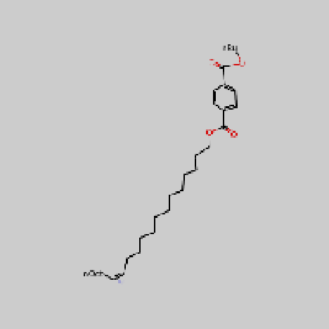 CCCCCCCC/C=C\CCCCCCCCCCCCOC(=O)c1ccc(C(=O)OCCCC)cc1